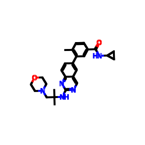 Cc1ccc(C(=O)NC2CC2)cc1-c1ccc2nc(NC(C)(C)CN3CCOCC3)ncc2c1